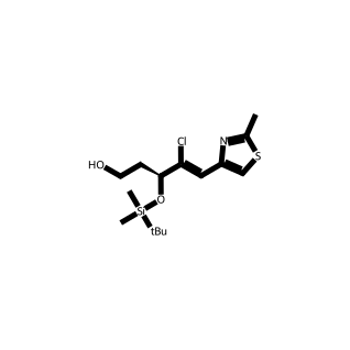 Cc1nc(/C=C(\Cl)[C@H](CCO)O[Si](C)(C)C(C)(C)C)cs1